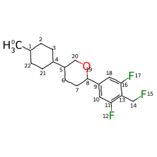 CC1CCC(C2CCC(c3cc(F)c(CF)c(F)c3)OC2)CC1